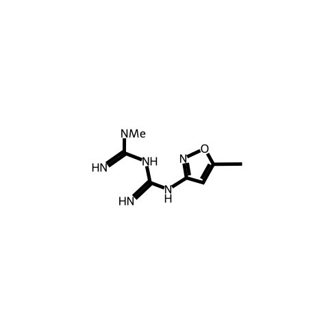 CNC(=N)NC(=N)Nc1cc(C)on1